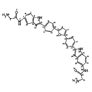 NCC(=O)Nc1ccc2[nH]c(-c3ccc(-c4ccc(-c5ccc(-c6nc7cc(NC(=O)CN)ccc7[nH]6)cc5)o4)cc3)nc2c1